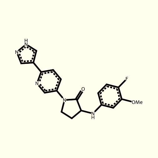 COc1cc(NC2CCN(c3ccc(-c4cn[nH]c4)nc3)C2=O)ccc1F